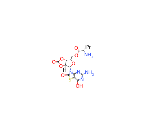 CC(C)[C@H](N)C(=O)OC[C@H]1O[C@@H](n2c(=O)sc3c(O)nc(N)nc32)[C@@H]2OC(=O)OC21